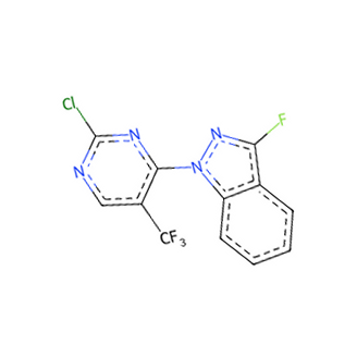 Fc1nn(-c2nc(Cl)ncc2C(F)(F)F)c2ccccc12